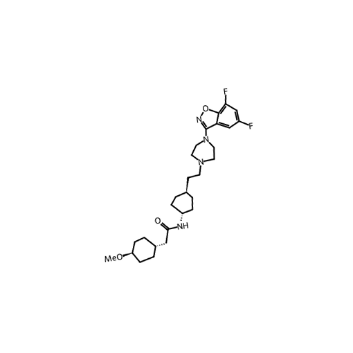 CO[C@H]1CC[C@H](CC(=O)N[C@H]2CC[C@H](CCN3CCN(c4noc5c(F)cc(F)cc45)CC3)CC2)CC1